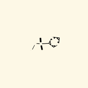 CC(C)(C)NS(=O)(=O)c1cocn1